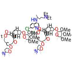 CCN(CC)CCCC(C)Nc1ccnc2cc(Cl)ccc12.CC[C@H]1CCC[C@H](O[C@H]2CC[C@H](N(C)C)[C@@H](C)O2)[C@@H](C)C(=O)C2=C[C@@H]3[C@@H](C=C(C)[C@@H]4C[C@@H](O[C@@H]5O[C@@H](C)[C@H](OC)[C@@H](OC)[C@H]5OC)C[C@@H]34)[C@@H]2CC(=O)O1.CC[C@H]1CCC[C@H](O[C@H]2CC[C@H](N(C)C)[C@@H](C)O2)[C@@H](C)C(=O)C2=C[C@@H]3[C@@H](C=C[C@@H]4C[C@@H](O[C@@H]5O[C@@H](C)[C@H](OC)[C@@H](OC)[C@H]5OC)C[C@@H]34)[C@@H]2CC(=O)O1